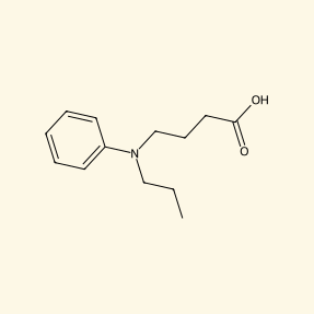 CCCN(CCCC(=O)O)c1ccccc1